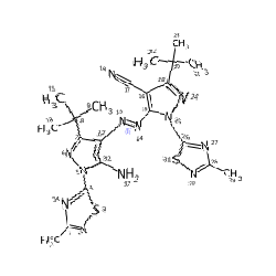 Cc1nsc(-n2nc(C(C)(C)C)c(/N=N/c3c(C#N)c(C(C)(C)C)nn3-c3nc(C)ns3)c2N)n1